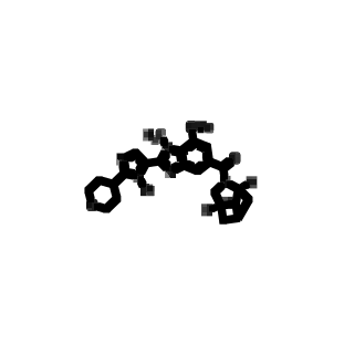 CCn1c(-c2nc3cc(C(=O)N4C[C@H]5CC6C[C@@H]4[C@H]65)cc(OC)c3n2C)cnc1C1CCOCC1